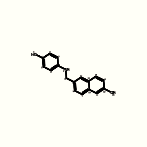 Oc1ccc(NCc2ccc3cc(O)ccc3c2)cc1